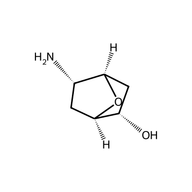 N[C@H]1C[C@H]2O[C@@H]1C[C@@H]2O